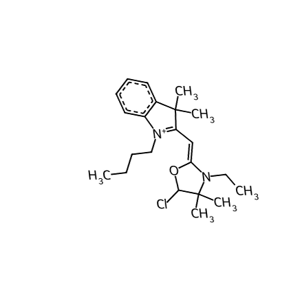 CCCC[N+]1=C(/C=C2\OC(Cl)C(C)(C)N2CC)C(C)(C)c2ccccc21